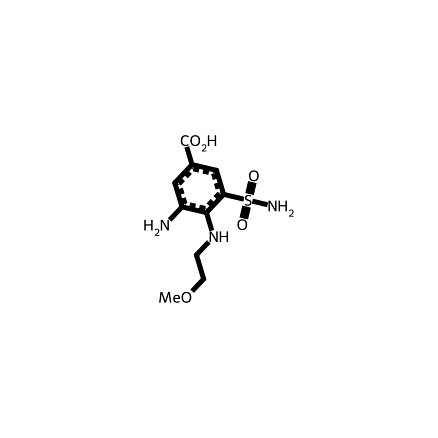 COCCNc1c(N)cc(C(=O)O)cc1S(N)(=O)=O